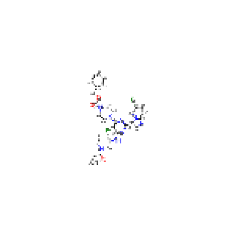 N#CCC(=O)N1CCC[C@@H](Nc2nc(-c3cnc4ccc(F)cn34)nc(N3CCN(C(=O)OCc4ccccc4)CC3)c2F)C1